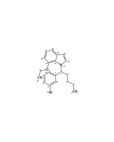 N#CCCCC(c1cccc(Br)c1)n1ccc2cccc(OCC#N)c21